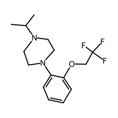 CC(C)N1CCN(c2ccccc2OCC(F)(F)F)CC1